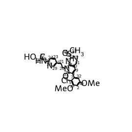 COc1cc(OC)c(Cl)c(-c2cc3cnc([S+](C)[O-])nc3n(CCc3ccc(NC(=O)O)nc3)c2=O)c1